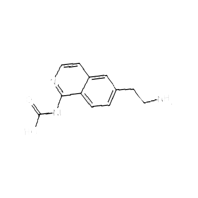 NCCc1ccc2c(NC(=O)O)nccc2c1